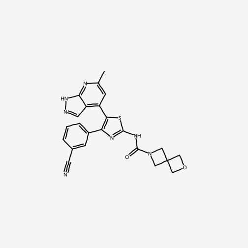 Cc1cc(-c2sc(NC(=O)N3CC4(COC4)C3)nc2-c2cccc(C#N)c2)c2cn[nH]c2n1